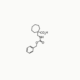 O=C(NCC1(C(=O)O)CCCCCC1)OCc1ccccc1